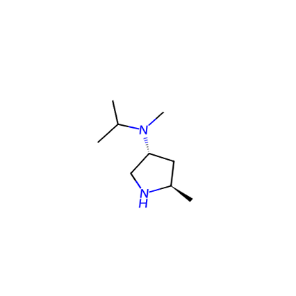 CC(C)N(C)[C@H]1CN[C@H](C)C1